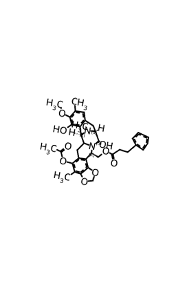 COc1c(C)cc2c(c1O)[C@@H]1C3Cc4c(OC(C)=O)c(C)c5c(c4[C@H](COC(=O)CCc4ccccc4)N3[C@@H](O)[C@H](C2)N1C)OCO5